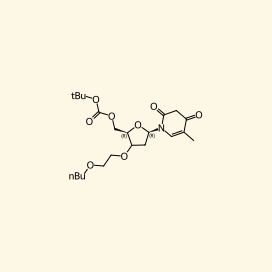 CCCCOCCOC1C[C@H](N2C=C(C)C(=O)CC2=O)O[C@@H]1COC(=O)OC(C)(C)C